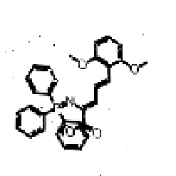 COc1cccc(OC)c1C=CC=C(N=P(c1ccccc1)(c1ccccc1)c1ccccc1)C(=O)O